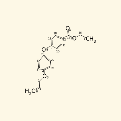 C=CCOc1ccc(Oc2ccc(C(=O)OCC)cc2)cc1